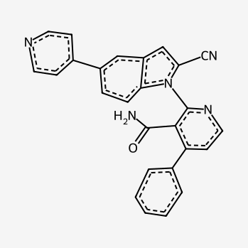 N#Cc1cc2cc(-c3ccncc3)ccc2n1-c1nccc(-c2ccccc2)c1C(N)=O